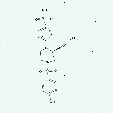 CC#C[C@H]1CN(S(=O)(=O)c2ccc(N)nc2)CCN1c1ccc(S(N)(=O)=O)cc1